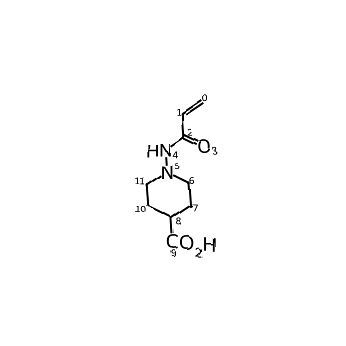 C=CC(=O)NN1CCC(C(=O)O)CC1